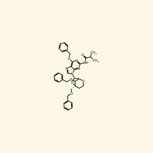 CC(C)C(=O)Nc1nc(OCc2ccccc2)c2ncn([C@@H]3O[C@]4(COCc5ccccc5)CCOC3C4OCc3ccccc3)c2n1